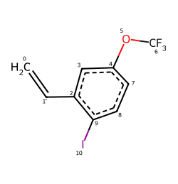 C=[C]c1cc(OC(F)(F)F)ccc1I